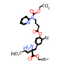 CC(=O)c1cc(CC(N)(CCC(=O)O)C(=O)OCC(C)(C)C)ccc1OC(=O)CCCN(C(=O)OCC(Cl)(Cl)Cl)c1ccccn1